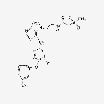 CS(=O)(=O)CC(=O)NCCn1ccc2ncnc(Nc3cnc(Oc4cccc(C(F)(F)F)c4)c(Cl)c3)c21